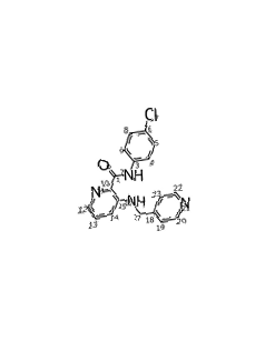 O=C(Nc1ccc(Cl)cc1)c1ncccc1NCc1ccncc1